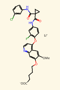 COc1cc2c(Oc3ccc(NC(=O)C4(C(=O)Nc5cccc(Cl)c5)CC4)cc3F)ccnc2cc1OCCCCC(=O)[O-].[Li+]